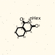 CCCCCCN1C(=O)CC2=C(CCCC2)C1=O